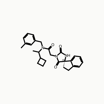 Cc1cccc(CN(C(=O)CN2C(=O)N[C@]3(CCc4ccccc43)C2=O)C(C)C2CCC2)c1